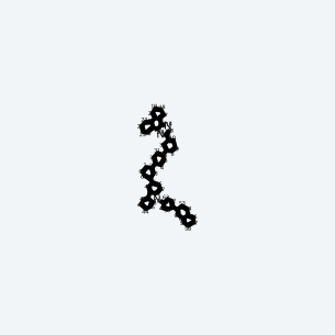 c1cc(-c2ccc(-c3cccc(-c4cnc5c6ccccc6c6ccccc6c5n4)c3)cc2)cc(-c2ccc3c(c2)c2ccccc2n3-c2ccc(-c3ccc4ccccc4c3)cc2)c1